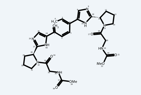 C=C(/C=C\C(=C/C)c1cnc([C@@H]2CCCN2C(=O)CNC(=O)OC)[nH]1)c1cnc([C@@H]2CCCN2C(=O)CNC(=O)OC)[nH]1